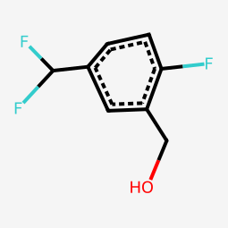 OCc1cc(C(F)F)ccc1F